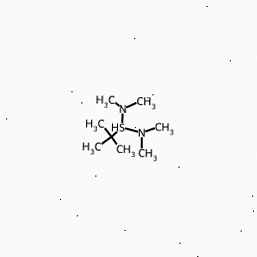 CN(C)[SH](N(C)C)C(C)(C)C